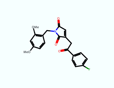 COc1ccc(CN2C(=O)C=C(CC(=O)c3ccc(F)cc3)C2=O)c(OC)c1